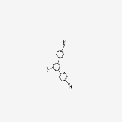 CC(C)c1cc(-c2ccc(C#N)cc2)[c]c(-c2ccc(C#N)cc2)c1